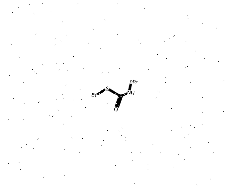 CCCNC(=O)SCC